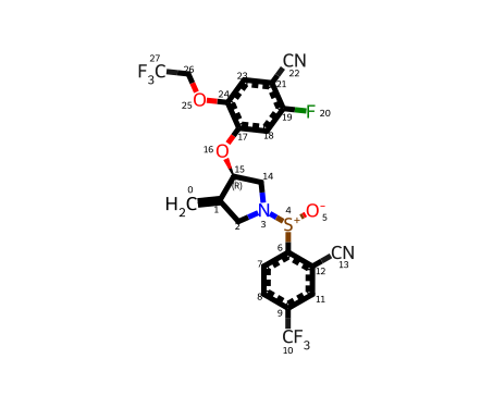 C=C1CN([S+]([O-])c2ccc(C(F)(F)F)cc2C#N)C[C@@H]1Oc1cc(F)c(C#N)cc1OCC(F)(F)F